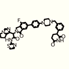 O=C1CCC(c2cccc(CN3CCN(c4ccc(-c5cc(F)c6c(c5)C(=O)N(C(C(=O)Nc5nccs5)c5ncn7c5CCC7)C6)cc4)CC3)c2)C(=O)N1